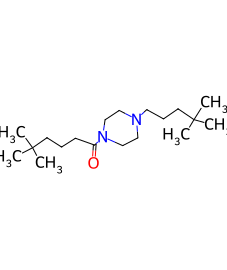 CC(C)(C)CCCC(=O)N1CCN(CCCC(C)(C)C)CC1